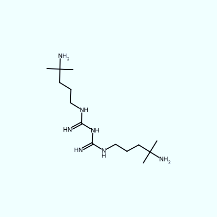 CC(C)(N)CCCNC(=N)NC(=N)NCCCC(C)(C)N